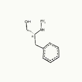 OC[C@@H](Cc1ccccc1)NP